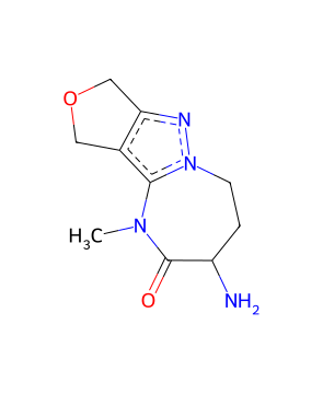 CN1C(=O)C(N)CCn2nc3c(c21)COC3